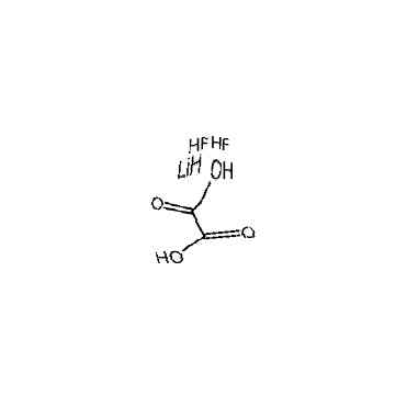 F.F.O=C(O)C(=O)O.[LiH]